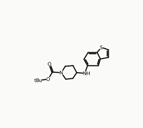 CC(C)(C)OC(=O)N1CCC(Nc2ccc3sccc3c2)CC1